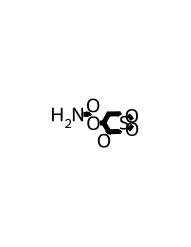 NC(=O)OC1CCS(=O)(=O)CC1=O